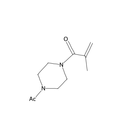 C=C(C)C(=O)N1CCN(C(C)=O)CC1